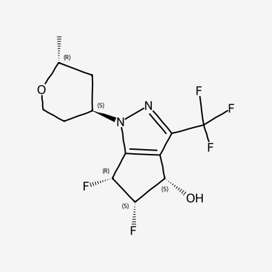 C[C@@H]1C[C@@H](n2nc(C(F)(F)F)c3c2[C@@H](F)[C@@H](F)[C@H]3O)CCO1